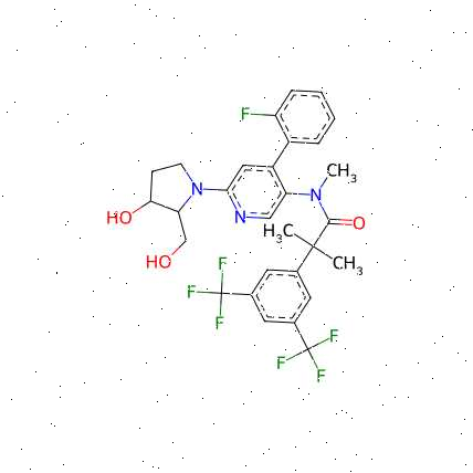 CN(C(=O)C(C)(C)c1cc(C(F)(F)F)cc(C(F)(F)F)c1)c1cnc(N2CCC(O)C2CO)cc1-c1ccccc1F